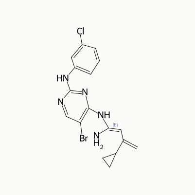 C=C(/C=C(\N)Nc1nc(Nc2cccc(Cl)c2)ncc1Br)C1CC1